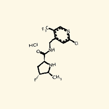 C[C@@H]1N[C@H](C(=O)NCc2cc(Cl)ncc2C(F)(F)F)C[C@H]1F.Cl